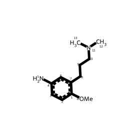 COc1ccc(N)cc1CCCN(C)C